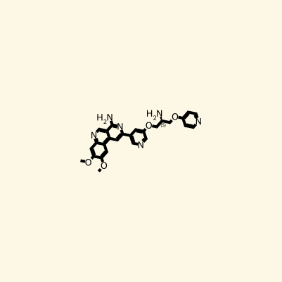 COc1cc2ncc3c(N)nc(-c4cncc(OC[C@@H](N)COc5ccncc5)c4)cc3c2cc1OC